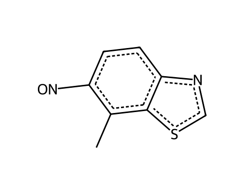 Cc1c(N=O)ccc2ncsc12